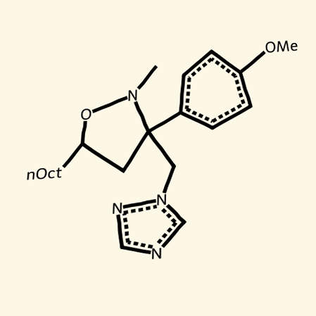 CCCCCCCCC1CC(Cn2cncn2)(c2ccc(OC)cc2)N(C)O1